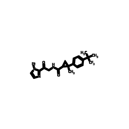 CCn1ccnc1C(=O)CNC(=O)C1CC1(C)c1ccc(C(C)(C)C(F)(F)F)cc1